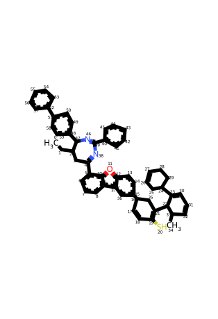 CCC1CC(c2cccc3c2oc2ccc(C4C=CC(S)=C(C5C(C6CC=CCC6)=CC=CC5C)C4)cc23)=NC(c2ccccc2)=NC1c1ccc(-c2ccccc2)cc1